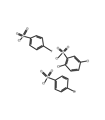 O=S(=O)(Cl)c1cc(Cl)ccc1Cl.O=S(=O)(Cl)c1ccc(Br)cc1.O=S(=O)(Cl)c1ccc(F)cc1